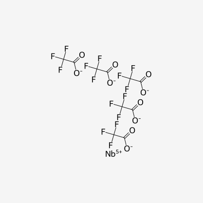 O=C([O-])C(F)(F)F.O=C([O-])C(F)(F)F.O=C([O-])C(F)(F)F.O=C([O-])C(F)(F)F.O=C([O-])C(F)(F)F.[Nb+5]